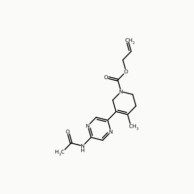 C=CCOC(=O)N1CCC(C)=C(c2cnc(NC(C)=O)cn2)C1